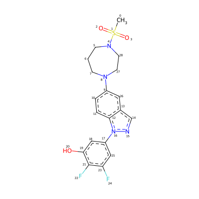 CS(=O)(=O)N1CCCN(c2ccc3c(cnn3-c3cc(O)c(F)c(F)c3)c2)CC1